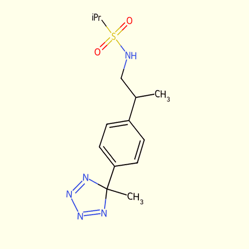 CC(CNS(=O)(=O)C(C)C)c1ccc(C2(C)N=NN=N2)cc1